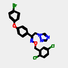 Clc1ccc(Cl)c(CON=C(Cn2cncn2)c2ccc(Oc3ccc(Br)cc3)cc2)c1